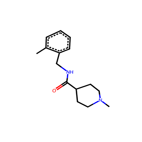 Cc1ccccc1CNC(=O)C1CCN(C)CC1